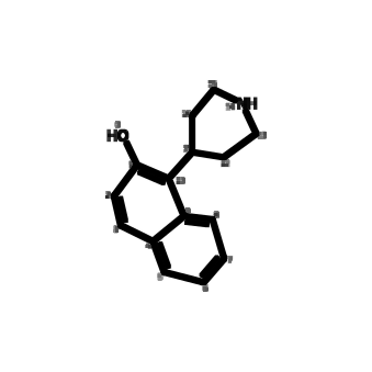 Oc1ccc2ccccc2c1C1CCNCC1